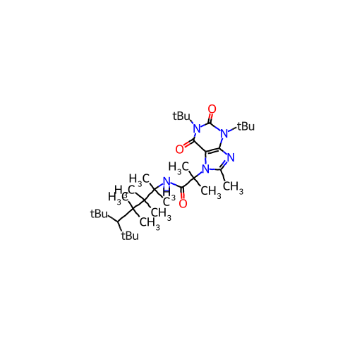 Cc1nc2c(c(=O)n(C(C)(C)C)c(=O)n2C(C)(C)C)n1C(C)(C)C(=O)NC(C)(C)C(C)(C)C(C)(C)C(C(C)(C)C)C(C)(C)C